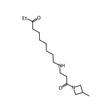 CCC(=O)CCCCCCCNCCC(=O)N1CC(C)C1